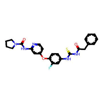 O=C(Cc1ccccc1)NC(=S)Nc1ccc(Oc2ccnc(NC(=O)N3CCCC3)c2)c(F)c1